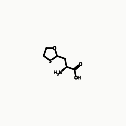 N[C@@H](CC1OCCS1)C(=O)O